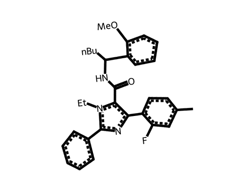 CCCCC(NC(=O)c1c(-c2ccc(C)cc2F)nc(-c2ccccc2)n1CC)c1ccccc1OC